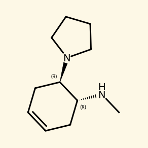 CN[C@@H]1CC=CC[C@H]1N1CCCC1